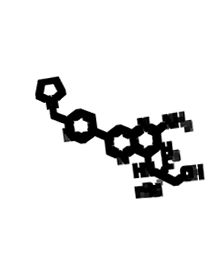 CCCC[C@](C)(CO)Nc1cc(N)nc2cc(-c3ccc(CN4CCCC4)nc3)cnc12